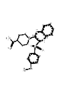 COc1ccc(S(=O)(=O)c2nc3ccccc3nc2N2CCC(C(N)=O)CC2)cc1